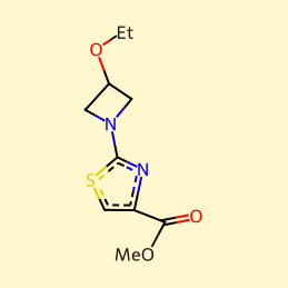 CCOC1CN(c2nc(C(=O)OC)cs2)C1